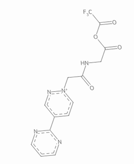 O=C(C[n+]1ccc(-c2ncccn2)cn1)NCC(=O)OC(=O)C(F)(F)F